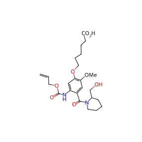 C=CCOC(=O)Nc1cc(OCCCCCC(=O)O)c(OC)cc1C(=O)N1CCCCC1CO